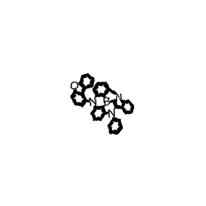 c1ccc(N2c3cccc4c3B3c5c(cccc5-n5c3c2c2ccccc25)N4c2cccc3oc4ccccc4c23)cc1